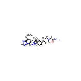 COCc1cc(-c2[nH]c3ccc(C4CCN(CC(N)=O)CC4)cc3c2C(C)C)cn2ncnc12